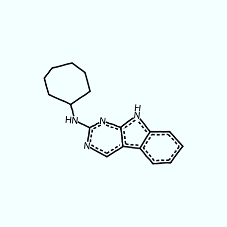 c1ccc2c(c1)[nH]c1nc(NC3CCCCCC3)ncc12